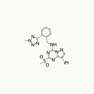 CC(C)c1cnn2c(NCc3ccccc3-c3nnn(C)n3)nc(S(C)(=O)=O)nc12